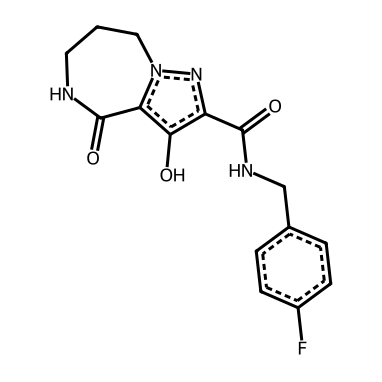 O=C(NCc1ccc(F)cc1)c1nn2c(c1O)C(=O)NCCC2